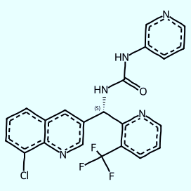 O=C(Nc1cccnc1)N[C@@H](c1cnc2c(Cl)cccc2c1)c1ncccc1C(F)(F)F